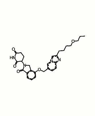 CCCOCCCCc1cn2cc(COc3cccc4c3CN(C3CCC(=O)NC3=O)C4=O)ccc2n1